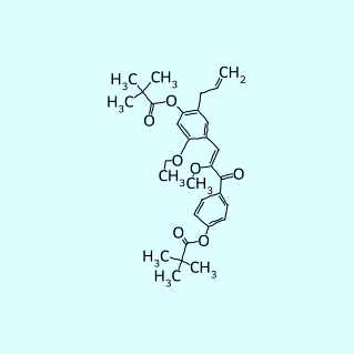 C=CCc1cc(C=C(OC)C(=O)c2ccc(OC(=O)C(C)(C)C)cc2)c(OCC)cc1OC(=O)C(C)(C)C